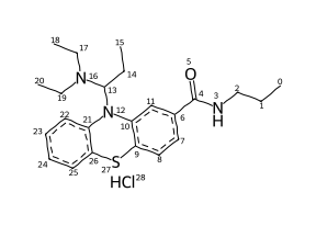 CCCNC(=O)c1ccc2c(c1)N(C(CC)N(CC)CC)c1ccccc1S2.Cl